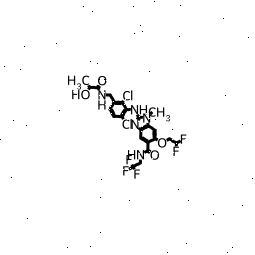 CC(O)C(=O)NCc1ccc(Cl)c(Nc2nc3cc(C(=O)NCC(F)(F)F)c(OCC(F)F)cc3n2C)c1Cl